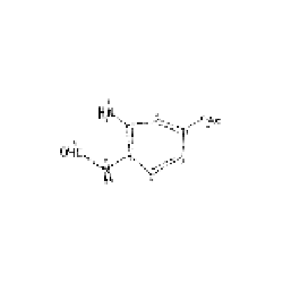 CC(=O)Oc1ccc(NC=O)c(N)c1